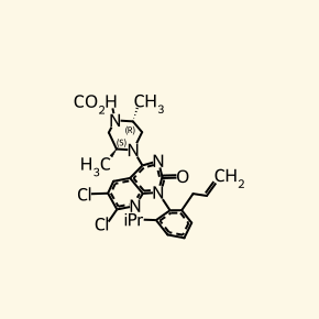 C=CCc1cccc(C(C)C)c1-n1c(=O)nc(N2C[C@@H](C)N(C(=O)O)C[C@@H]2C)c2cc(Cl)c(Cl)nc21